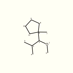 COC(C(C)C)C1(C)CCCC1